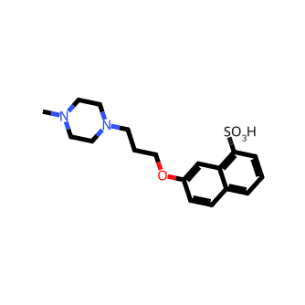 CN1CCN(CCCOc2ccc3cccc(S(=O)(=O)O)c3c2)CC1